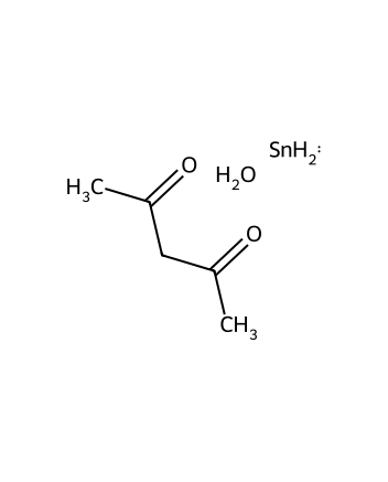 CC(=O)CC(C)=O.O.[SnH2]